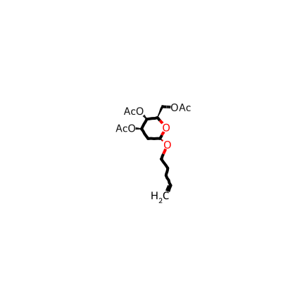 C=CCCCO[C@@H]1C[C@@H](OC(C)=O)[C@@H](OC(C)=O)[C@@H](COC(C)=O)O1